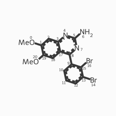 COc1cc2nc(N)nc(-c3cccc(Br)c3Br)c2cc1OC